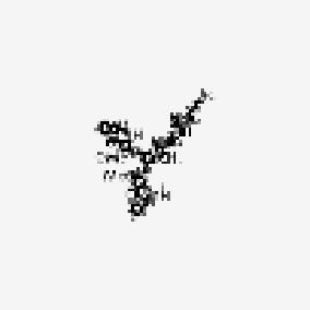 COc1cc2c(cc1OCc1cc(COc3cc4c(cc3OC)C(=O)N3c5ccccc5C[C@H]3C(O)N4)cc(N(C)C(=O)CNC(=O)CNC(=O)CNC(=O)CCCCC(C)=O)c1)NC[C@@H]1Cc3ccccc3N1C2=O